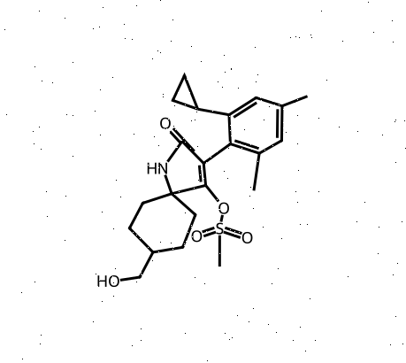 Cc1cc(C)c(C2=C(OS(C)(=O)=O)C3(CCC(CO)CC3)NC2=O)c(C2CC2)c1